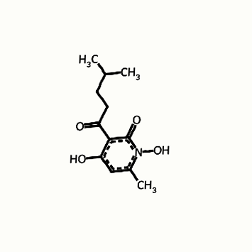 Cc1cc(O)c(C(=O)CCC(C)C)c(=O)n1O